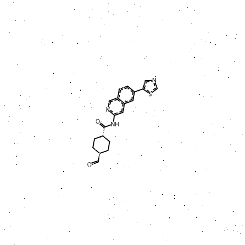 O=C[C@H]1CC[C@H](C(=O)Nc2cc3cc(-c4cncs4)ccc3cn2)CC1